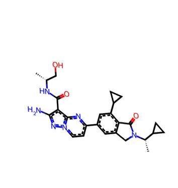 C[C@H](CO)NC(=O)c1c(N)nn2ccc(-c3cc4c(c(C5CC5)c3)C(=O)N([C@@H](C)C3CC3)C4)nc12